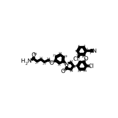 N#Cc1cccc(Cl)c1Oc1cc([C@H]2CC(=O)N(c3cccc(OCCCCC(N)=O)c3)C2)ccc1Cl